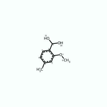 COc1cc(C)ccc1C(O)O